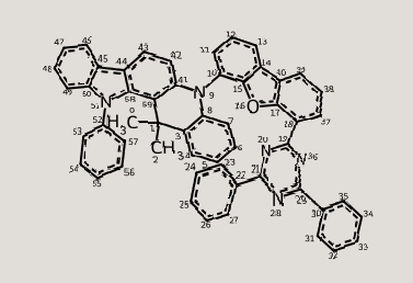 CC1(C)c2ccccc2N(c2cccc3c2oc2c(-c4nc(-c5ccccc5)nc(-c5ccccc5)n4)cccc23)c2ccc3c4ccccc4n(-c4ccccc4)c3c21